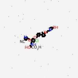 Cc1c(OCCCN2CC[C@@H](O)C2)cccc1-c1cccc(COc2cc(OCc3cncc(C#N)c3)c(CNC(C)(CO)C(=O)O)cc2Cl)c1